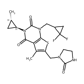 Cc1c(CN2CCNC2=O)sc2c1c(=O)n([C@H]1C[C@@H]1C)c(=O)n2CC1CC1(F)F